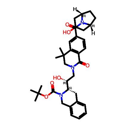 CC(C)(C)OC(=O)N1Cc2ccccc2C[C@H]1[C@H](O)CN1CC(C)(C)c2cc(C(=O)N3[C@@H]4CC[C@H]3CC(O)C4)ccc2C1=O